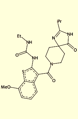 CCNC(=O)Nc1sc2c(OC)cccc2c1C(=O)N1CCC2(CC1)N=C(C(C)C)NC2=O